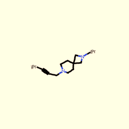 CC(C)C#CCN1CCC2(CC1)CN(C(C)C)C2